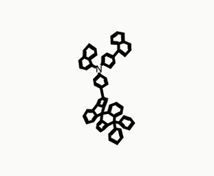 c1ccc(C2(c3ccccc3)c3ccccc3C3(c4ccccc4-c4cc(-c5ccc(N(c6ccc(-c7cccc8ccccc78)cc6)c6cccc7ccccc67)cc5)ccc43)c3ccccc32)cc1